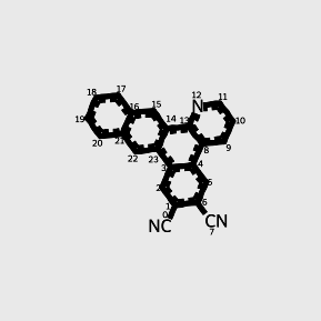 N#Cc1cc2c(cc1C#N)c1cccnc1c1cc3ccccc3cc21